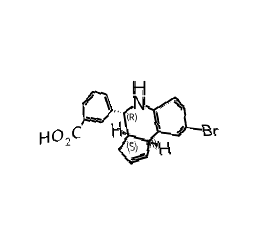 O=C(O)c1cccc([C@@H]2Nc3ccc(Br)cc3[C@@H]3C=CC[C@@H]32)c1